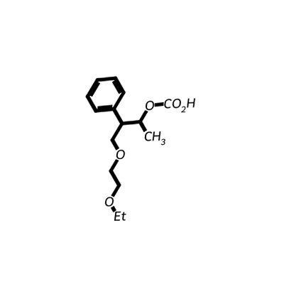 CCOCCOCC(c1ccccc1)C(C)OC(=O)O